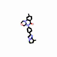 Cc1ccc(C(=O)Nc2ccc(-c3cn4cccc(C)c4n3)cc2)c(N2CCOCC2)c1